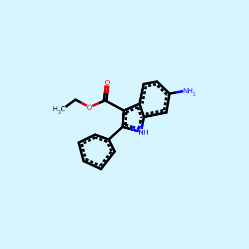 CCOC(=O)c1c(-c2ccccc2)[nH]c2cc(N)ccc12